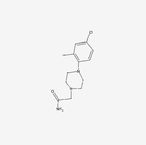 Cc1cc(Cl)ccc1N1CCN(CC(N)=O)CC1